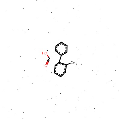 Cc1ccccc1-c1ccccc1.O=CO